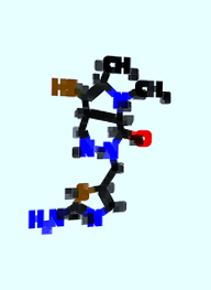 Cc1c(S)c2cnn(Cc3cnc(N)s3)c(=O)c2n1C